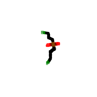 O=S(=O)(CCCF)CCCF